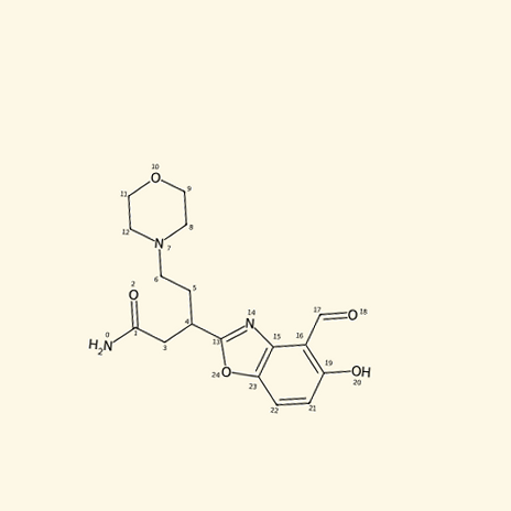 NC(=O)CC(CCN1CCOCC1)c1nc2c(C=O)c(O)ccc2o1